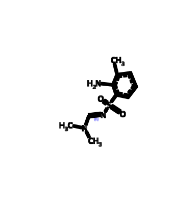 Cc1cccc(S(=O)(=O)/N=C/N(C)C)c1N